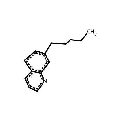 CCCCCc1ccc2cccnc2c1